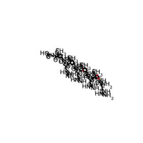 COc1ccc(NC(=O)[C@H](CCCCNC(=N)N)NC(=O)c2cc(NC(=O)[C@H](CCCNC(=N)N)NC(=O)c3cc(NC(=O)[C@H](CCCNC(=N)N)NC(=O)c4cc(NC(=O)[C@@H](N)CCCNC(=N)N)ccc4OC)ccc3OC)ccc2OC)cc1C(=O)NCCC(=O)O